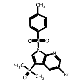 Cc1ccc(S(=O)(=O)n2cc(P(C)(C)=O)c3cc(Br)cnc32)cc1